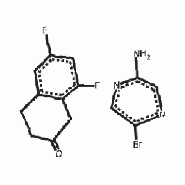 Nc1cnc(Br)cn1.O=C1CCc2cc(F)cc(F)c2C1